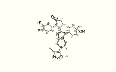 Cc1noc(C)c1-c1ccc2c(c1)nc([C@@H]1CCC(=O)N1c1ccc(F)c(F)c1)n2C1CCC(C)(O)CC1